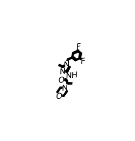 Cc1nc(NC(=O)C(C)N2CCOCC2)cn1Cc1cc(F)cc(F)c1